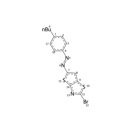 CCCCc1ccc(N=Nc2cc3sc(Br)nc3s2)cc1